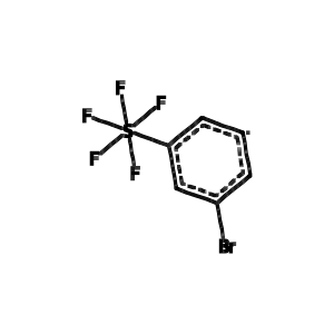 FS(F)(F)(F)(F)c1c[c]cc(Br)c1